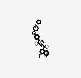 O=C(c1ccc(F)c2ncccc12)N1CCN(c2ccc(OC3CCN(C4CCCC4)CC3)cc2)C(=O)C1